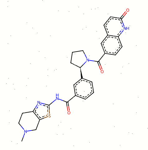 CN1CCc2nc(NC(=O)c3cccc([C@H]4CCCN4C(=O)c4ccc5[nH]c(=O)ccc5c4)c3)sc2C1